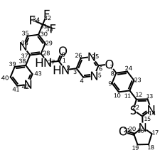 O=C(Nc1cnc(Oc2ccc(-c3cnc(N4CCCC4=O)s3)cc2)nc1)Nc1cc(C(F)(F)F)cnc1-c1cccnc1